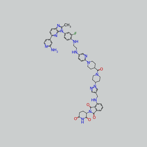 Cc1nc2ccc(-c3ccnc(N)c3)nc2n1-c1ccc(NCCNc2ccc(N3CCC(C(=O)N4CCC(n5cc(CNc6cccc7c6C(=O)N(C6CCC(=O)NC6=O)C7=O)cn5)CC4)CC3)nc2)c(F)c1